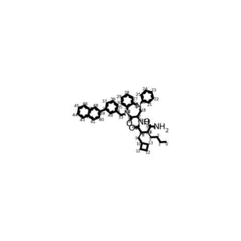 CCCC[C@H](C(N)=O)[C@@H](CC1CCC1)C(=O)NC1CN(c2ccccc2)c2ccccc2N(Cc2cccc(-c3ccc4ccccc4c3)c2)C1=O